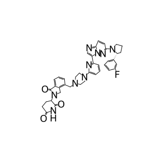 O=C1CCC(N2Cc3c(CN4CCN(c5cccc(-c6cnc7ccc(N8CCC[C@@H]8c8cccc(F)c8)nn67)n5)CC4)cccc3C2=O)C(=O)N1